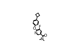 CN(C)C(=O)c1cnc(Oc2ccc(C3CCC3)cc2)c(F)c1